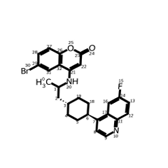 CC(C[C@H]1CC[C@H](c2ccnc3ccc(F)cc32)CC1)Nc1cc(=O)oc2ccc(Br)cc12